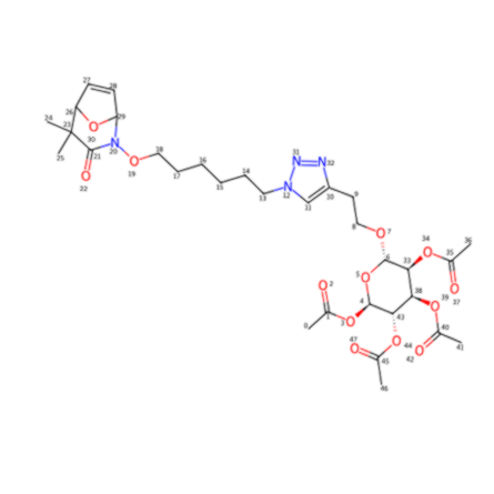 CC(=O)O[C@H]1O[C@H](OCCc2cn(CCCCCCON3C(=O)C(C)(C)C4C=CC3O4)nn2)[C@@H](OC(C)=O)[C@@H](OC(C)=O)[C@@H]1OC(C)=O